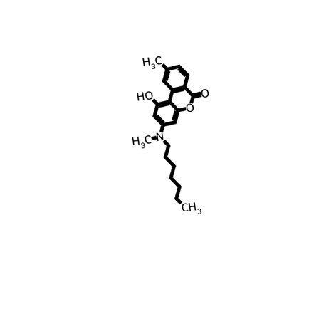 CCCCCCCN(C)c1cc(O)c2c(c1)oc(=O)c1ccc(C)cc12